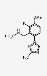 COc1ccc(-n2cnc(C(F)(F)F)n2)c(CNC(=O)O)c1F